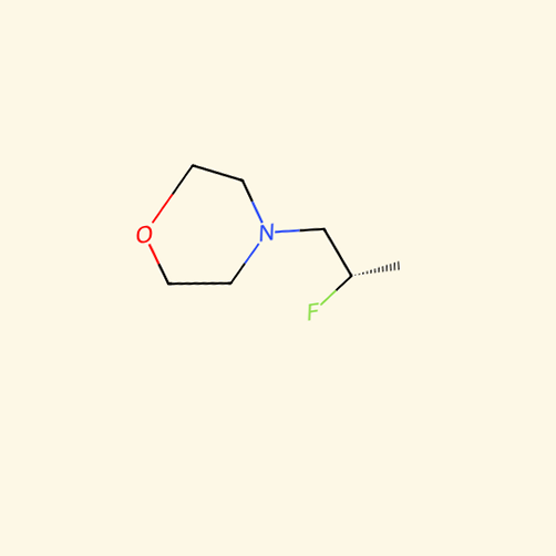 C[C@H](F)CN1CCOCC1